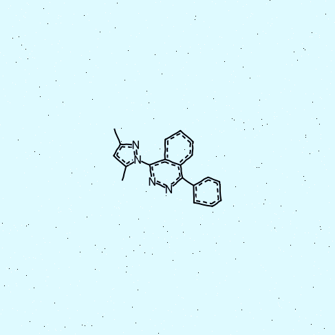 Cc1cc(C)n(-c2nnc(-c3ccccc3)c3ccccc23)n1